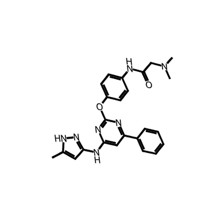 Cc1cc(Nc2cc(-c3ccccc3)nc(Oc3ccc(NC(=O)CN(C)C)cc3)n2)n[nH]1